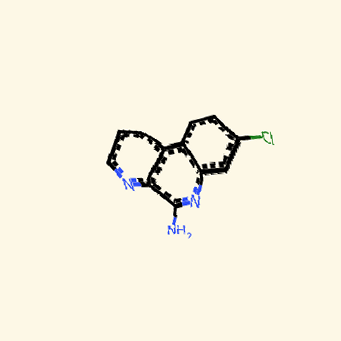 Nc1nc2cc(Cl)ccc2c2cccnc12